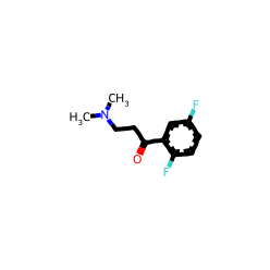 CN(C)CCC(=O)c1cc(F)ccc1F